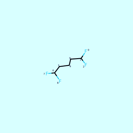 FC(F)[CH]CCC(F)F